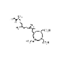 CC(C)CC(=O)N(C)CCCN(C)CCCN(C)C(=O)CN1CCN(CC(=O)O)CCN(CC(=O)O)CCN(CC(=O)O)CC1